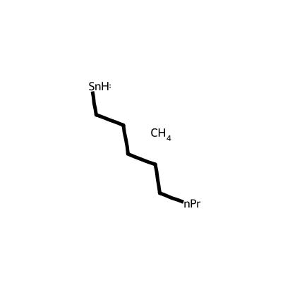 C.CCCCCCC[CH2][SnH]